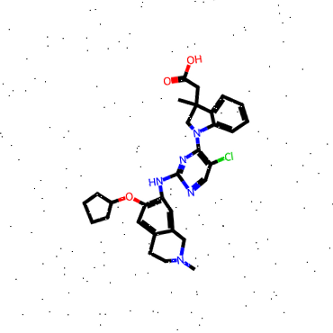 CN1CCc2cc(OC3CCCC3)c(Nc3ncc(Cl)c(N4CC(C)(CC(=O)O)c5ccccc54)n3)cc2C1